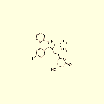 CC(C)c1nn(-c2ccccn2)c(-c2ccc(F)cc2)c1CC[C@@H]1C[C@@H](O)CC(=O)O1